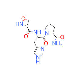 NC(=O)[C@@H]1CCCN1C(=O)[C@H](Cc1c[nH]cn1)NC(=O)[C@@H]1CON1